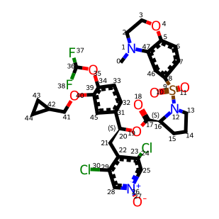 CN1CCOc2ccc(S(=O)(=O)N3CCC[C@H]3C(=O)O[C@@H](Cc3c(Cl)c[n+]([O-])cc3Cl)c3ccc(OC(F)F)c(OCC4CC4)c3)cc21